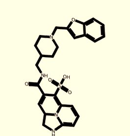 O=C(NCC1CCN(Cc2cc3ccccc3o2)CC1)C1=CC2CNC3=CC=CC(=C1S(=O)(=O)O)N32